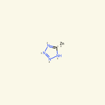 [Zn].c1nnn[nH]1